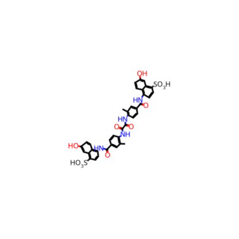 Cc1cc(C(=O)Nc2ccc(S(=O)(=O)O)c3cc(O)ccc23)ccc1NC(=O)C(=O)Nc1ccc(C(=O)Nc2ccc(S(=O)(=O)O)c3cc(O)ccc23)cc1C